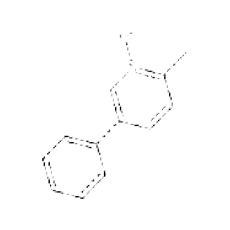 Cc1ccc(-c2ccccc2)c[n+]1[O-]